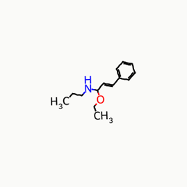 CCCNC(C=Cc1ccccc1)OCC